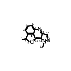 CC(C)c1cccc2nc3cnn(C)c3c(Cl)c12